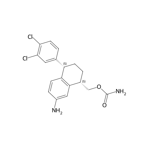 NC(=O)OC[C@H]1CC[C@@H](c2ccc(Cl)c(Cl)c2)c2ccc(N)cc21